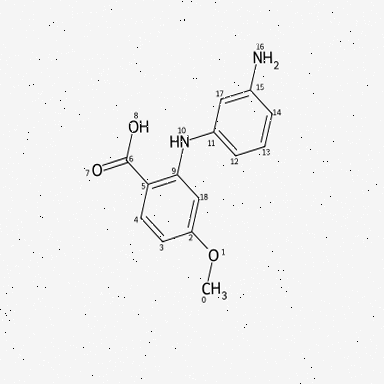 COc1ccc(C(=O)O)c(Nc2cccc(N)c2)c1